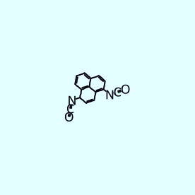 O=C=Nc1ccc2cccc3c2c1C=CC3N=C=O